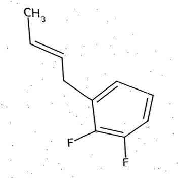 CC=CCc1cccc(F)c1F